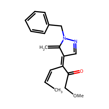 C=c1/c(=C(\C=C/C)C(=O)COC)cnn1Cc1ccccc1